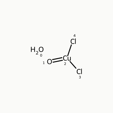 O.[O]=[Cu]([Cl])[Cl]